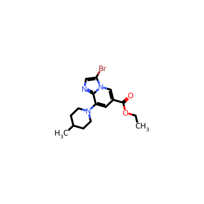 CCOC(=O)c1cc(N2CCC(C)CC2)c2ncc(Br)n2c1